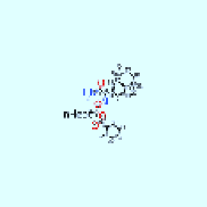 CCCCCCCC(ON=C(C(N)=O)c1ccc2c(c1)C(C)(C)CCC2(C)C)OC(=O)c1ccccc1